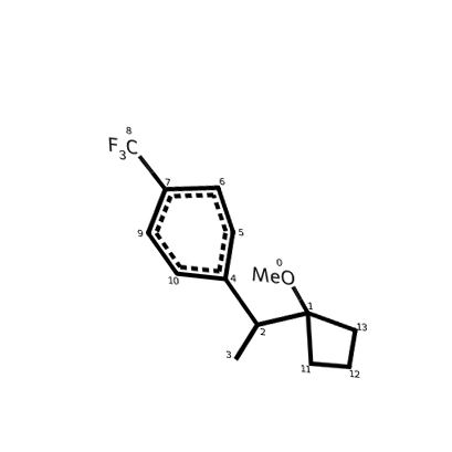 COC1(C(C)c2ccc(C(F)(F)F)cc2)CCC1